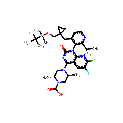 CC(C)c1nccc(CC2(CO[Si](C)(C)C(C)(C)C)CC2)c1-n1c(=O)nc(N2C[C@@H](C)N(C(=O)O)C[C@@H]2C)c2cc(F)c(Cl)nc21